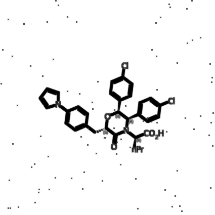 CCC[C@H](C(=O)O)N1C(=O)[C@H](Cc2ccc(-n3cccc3)cc2)O[C@@H](c2ccc(Cl)cc2)[C@H]1c1ccc(Cl)cc1